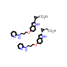 CCOC(=O)C1CC1c1cc2cc(OCCCNc3ccccn3)ccc2[nH]1.O=C(O)C[C@@H]1C[C@H]1c1cc2cc(OCCCNc3ccccn3)ccc2[nH]1